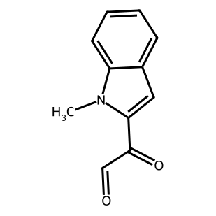 Cn1c(C(=O)C=O)cc2ccccc21